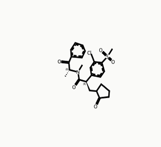 C[C@H](C(=O)c1ccccc1)N(C)C(=O)[C@H](CC1CCCC1=O)c1ccc(S(C)(=O)=O)c(Cl)c1